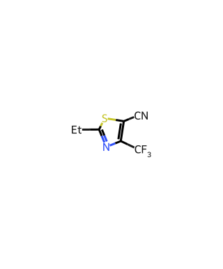 CCc1nc(C(F)(F)F)c(C#N)s1